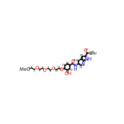 COCCOCCOCCOCCOc1ccc(C(=O)Nc2cnc3[nH]c(C(=O)C(C)(C)C)cc3c2)cc1O